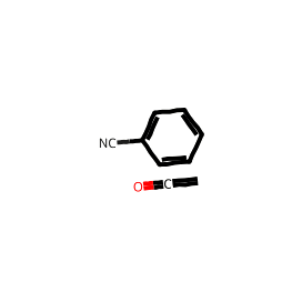 C=C=O.N#Cc1ccccc1